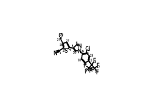 N#Cc1sc(-c2cnn(-c3ccc(C(F)(C(F)(F)F)C(F)(F)F)cc3Cl)c2)cc1C=O